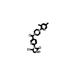 CCC1CNC(=O)N1c1ccc(C(=O)N2CCN(c3ncc(C)cc3C)CC2)cn1